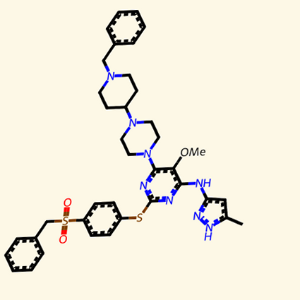 COc1c(Nc2cc(C)[nH]n2)nc(Sc2ccc(S(=O)(=O)Cc3ccccc3)cc2)nc1N1CCN(C2CCN(Cc3ccccc3)CC2)CC1